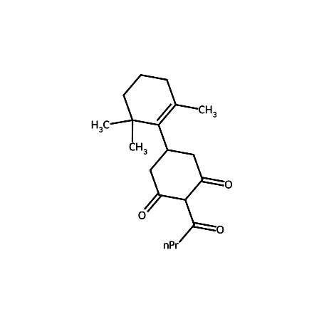 CCCC(=O)C1C(=O)CC(C2=C(C)CCCC2(C)C)CC1=O